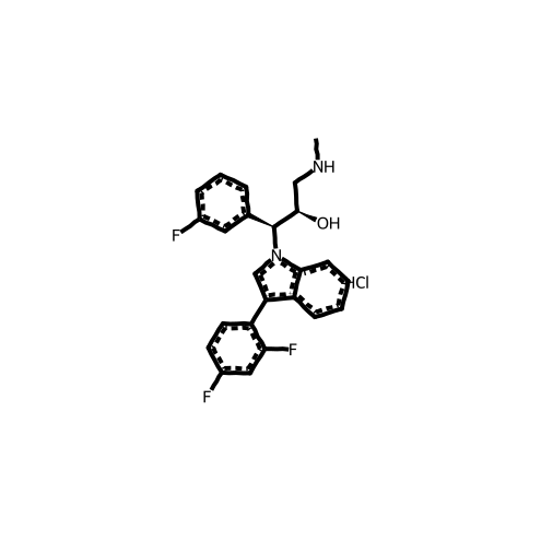 CNC[C@@H](O)[C@H](c1cccc(F)c1)n1cc(-c2ccc(F)cc2F)c2ccccc21.Cl